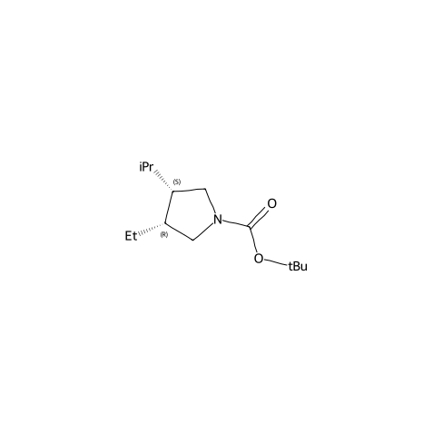 CC[C@H]1CN(C(=O)OC(C)(C)C)C[C@H]1C(C)C